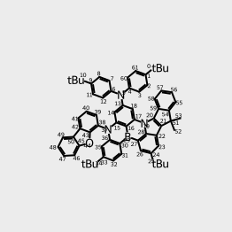 CC(C)(C)c1ccc(N(c2ccc(C(C)(C)C)cc2)c2cc3c4c(c2)-n2c5c(c6cc(C(C)(C)C)cc(c62)B4c2ccc(C(C)(C)C)cc2N3c2cccc3c2oc2ccccc23)C(C)(C)c2ccccc2-5)cc1